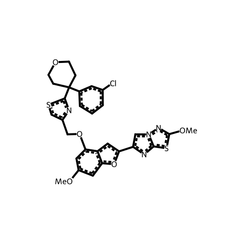 COc1cc(OCc2csc(C3(c4cccc(Cl)c4)CCOCC3)n2)c2cc(-c3cn4nc(OC)sc4n3)oc2c1